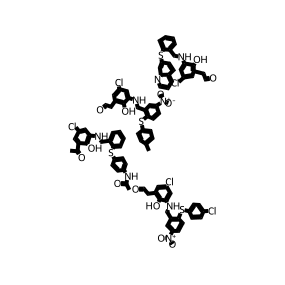 CC(=O)Nc1ccc(Sc2ccccc2CNc2cc(Cl)cc(C(C)=O)c2O)cc1.Cc1ccc(Sc2ccc([N+](=O)[O-])cc2CNc2cc(Cl)cc(CC=O)c2O)cc1.O=CCc1cc(Cl)cc(NCc2cc([N+](=O)[O-])ccc2Sc2ccc(Cl)cc2)c1O.O=CCc1cc(Cl)cc(NCc2ccccc2Sc2ccc3cccnc3c2)c1O